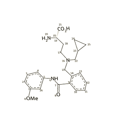 COc1cccc(NC(=O)c2ccccc2CN(CC[C@H](N)C(=O)O)CC2CC2)c1